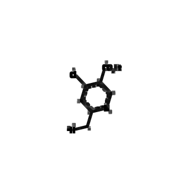 [2H]Cc1cc(Cl)c(C(=O)OCC)cn1